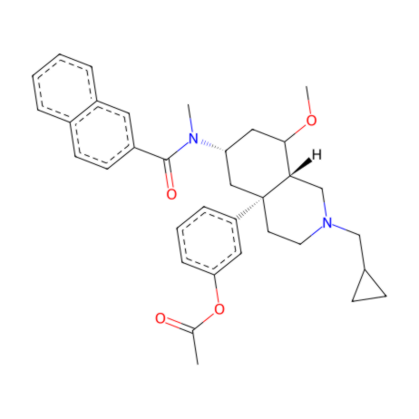 COC1C[C@@H](N(C)C(=O)c2ccc3ccccc3c2)C[C@]2(c3cccc(OC(C)=O)c3)CCN(CC3CC3)C[C@@H]12